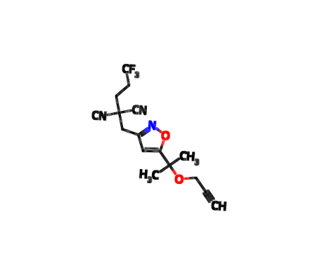 [C-]#[N+]C(C#N)(CCC(F)(F)F)Cc1cc(C(C)(C)OCC#C)on1